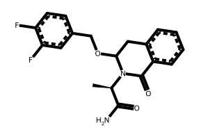 C[C@H](C(N)=O)N1C(=O)c2ccccc2CC1OCc1ccc(F)c(F)c1